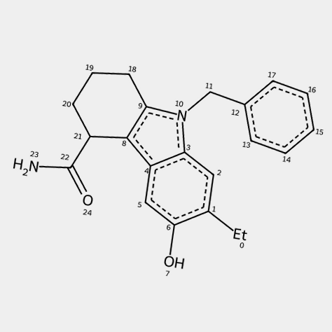 CCc1cc2c(cc1O)c1c(n2Cc2ccccc2)CCCC1C(N)=O